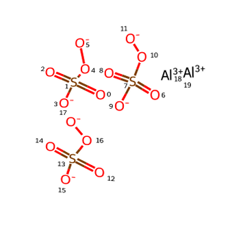 O=S(=O)([O-])O[O-].O=S(=O)([O-])O[O-].O=S(=O)([O-])O[O-].[Al+3].[Al+3]